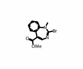 COC(=O)C1=CN=C(Br)N(C)c2ccccc21